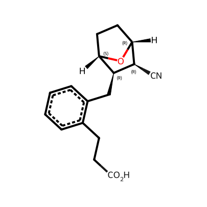 N#C[C@H]1[C@@H](Cc2ccccc2CCC(=O)O)[C@@H]2CC[C@H]1O2